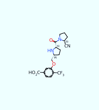 N#C[C@@H]1CCCN1C(=O)[C@@H]1CC[C@H](COc2cc(C(=O)O)ccc2C(F)(F)F)N1